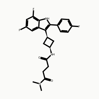 CN(C)C(=O)CCC(=O)N[C@H]1C[C@@H](c2c(-c3ccc(F)cc3)[nH]c3c(F)cc(F)cc32)C1